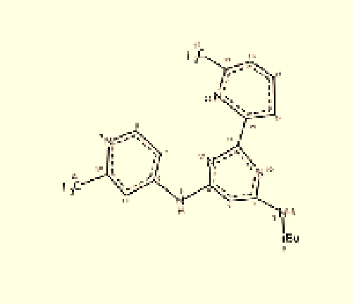 CC(C)(C)Nc1cc(Nc2ccnc(C(F)(F)F)c2)nc(-c2cccc(C(F)(F)F)n2)n1